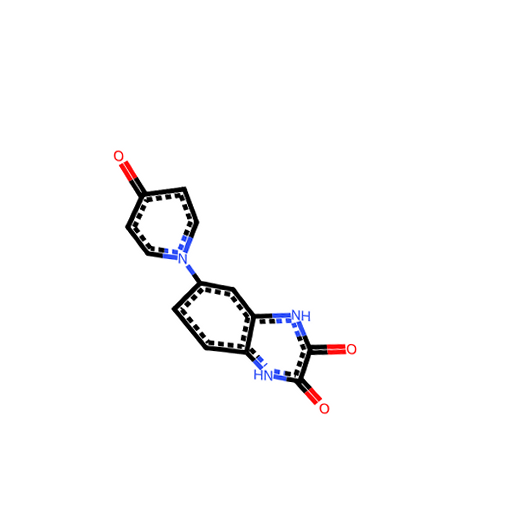 O=c1ccn(-c2ccc3[nH]c(=O)c(=O)[nH]c3c2)cc1